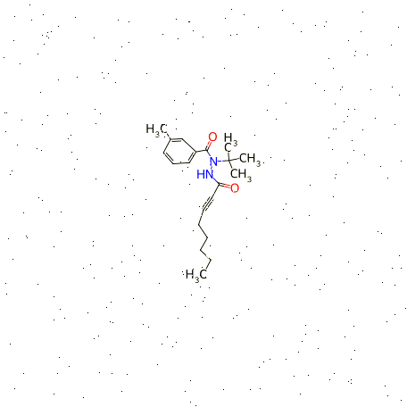 CCCCCC#CC(=O)NN(C(=O)c1cccc(C)c1)C(C)(C)C